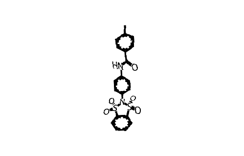 Cc1ccc(C(=O)Nc2ccc(N3S(=O)(=O)c4ccccc4S3(=O)=O)cc2)cc1